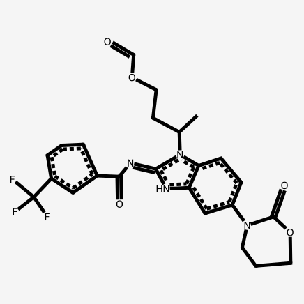 CC(CCOC=O)n1/c(=N/C(=O)c2cccc(C(F)(F)F)c2)[nH]c2cc(N3CCCOC3=O)ccc21